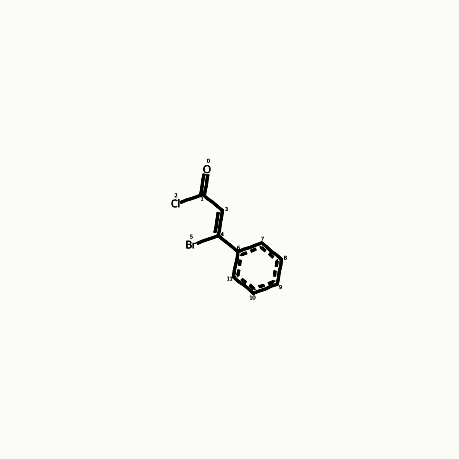 O=C(Cl)C=C(Br)c1ccccc1